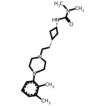 Cc1cccc(N2CCN(CC[C@H]3C[C@@H](NC(=O)N(C)C)C3)CC2)c1C